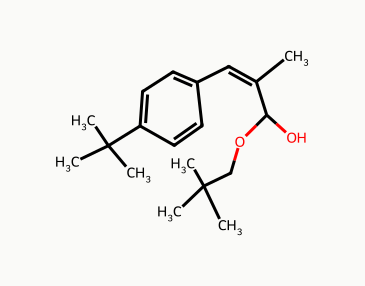 CC(=Cc1ccc(C(C)(C)C)cc1)C(O)OCC(C)(C)C